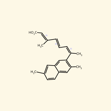 C/C(=C/C=C/C(C)=C/C(=O)O)c1cc2cc(C)ccc2cc1C